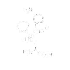 NC1CCCCC1.NC[C@H](N)C(=O)O.O=Cc1cc([N+](=O)[O-])ccc1Cl